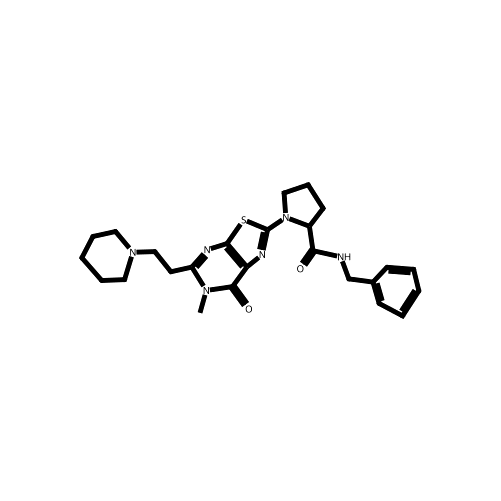 Cn1c(CCN2CCCCC2)nc2sc(N3CCCC3C(=O)NCc3ccccc3)nc2c1=O